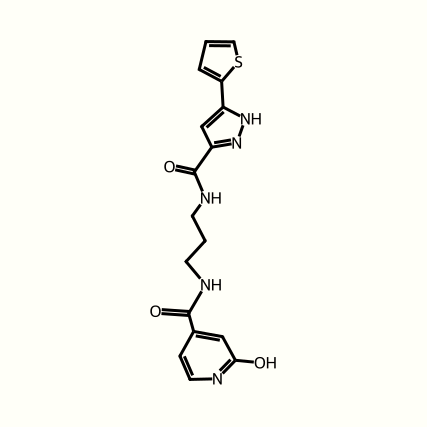 O=C(NCCCNC(=O)c1cc(-c2cccs2)[nH]n1)c1ccnc(O)c1